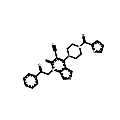 N#Cc1c(N2CCN(C(=O)c3cccs3)CC2)c2cscc2n(CC(=O)c2ccccc2)c1=O